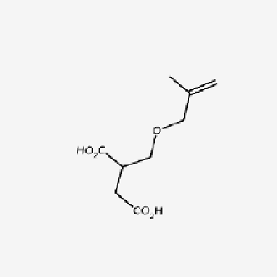 C=C(C)COCC(CC(=O)O)C(=O)O